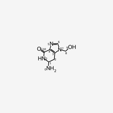 NC1Cc2c(ncn2CO)C(=O)N1